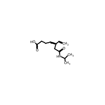 C=C/C(=C/CCC(=O)O)CC(=O)NC(C)C